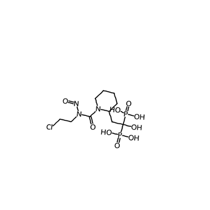 O=NN(CCCl)C(=O)N1CCCCC1CC(O)(P(=O)(O)O)P(=O)(O)O